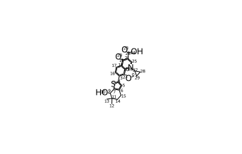 COc1c(-c2cc3c(s2)C(O)C(C)(C)CC3)ccc2c(=O)c(C(=O)O)cn(C3CC3)c12